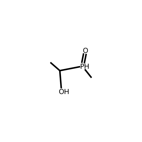 CC(O)[PH](C)=O